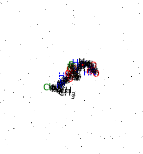 CC1(C)CCC(c2ccc(Cl)cc2)=C(CN2CCN(c3ccc(C(=O)NS(=O)(=O)c4ccc(NC(CCN5C[C@@H]6C[C@H]5CN6Cc5ccc6c(c5)CN(C5CCC(=O)NC5=O)C6=O)CSc5ccccc5)c(S(=O)(=O)C(F)(F)F)c4)cc3)CC2)C1